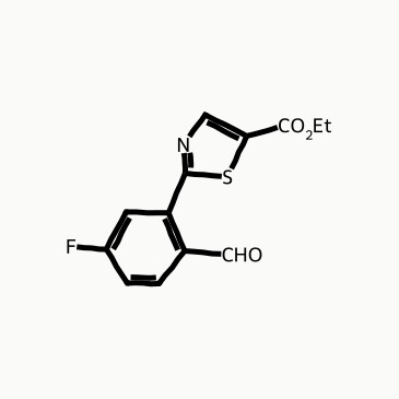 CCOC(=O)c1cnc(-c2cc(F)ccc2C=O)s1